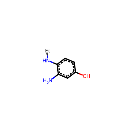 CCNc1ccc(O)cc1N